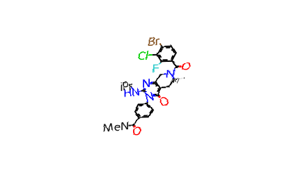 CNC(=O)c1ccc(-n2c(NC(C)C)nc3c(c2=O)C[C@@H](C)N(C(=O)c2ccc(Br)c(Cl)c2F)C3)cc1